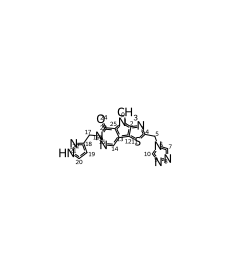 Cn1c2nc(Cn3cnnc3)sc2c2cnn(Cc3cc[nH]n3)c(=O)c21